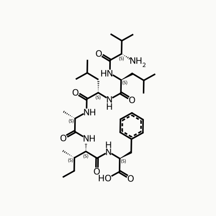 CC[C@H](C)[C@H](NC(=O)[C@H](C)NC(=O)[C@H](CC(C)C)NC(=O)[C@H](CC(C)C)NC(=O)[C@@H](N)C(C)C)C(=O)N[C@@H](Cc1ccccc1)C(=O)O